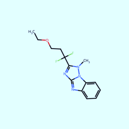 CCOCCC(F)(F)c1nc2nc3ccccc3n2n1C